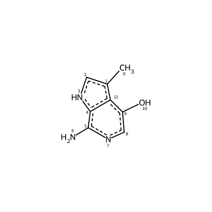 Cc1c[nH]c2c(N)ncc(O)c12